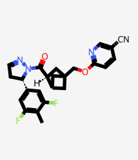 Cc1c(F)cc([C@@H]2CC=NN2C(=O)[C@H]2CC3(COc4ccc(C#N)cn4)CC2C3)cc1F